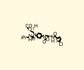 CC(C)CNC(=O)N(CCOCC(=O)O)c1ccc(N2C[C@H](CNC(=O)c3ccc(Cl)s3)OC2=O)cc1